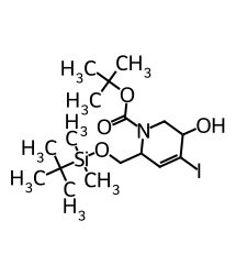 CC(C)(C)OC(=O)N1CC(O)C(I)=CC1CO[Si](C)(C)C(C)(C)C